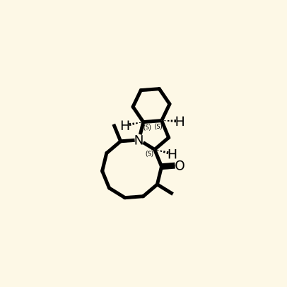 CC1CCCCCC(C)N2[C@@H](C[C@@H]3CCCC[C@@H]32)C1=O